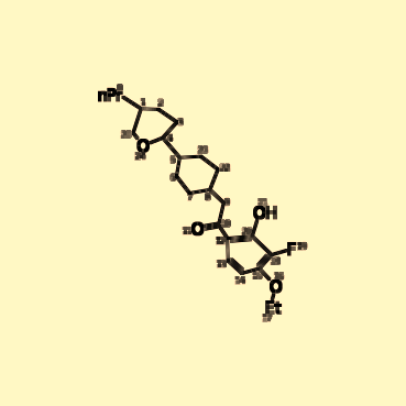 CCCC1CCC(C2CCC(CC(=O)c3ccc(OCC)c(F)c3O)CC2)OC1